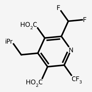 CC(C)Cc1c(C(=O)O)c(C(F)F)nc(C(F)(F)F)c1C(=O)O